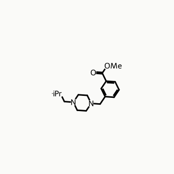 COC(=O)c1cccc(CN2CCN(C[C](C)C)CC2)c1